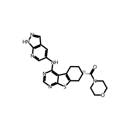 O=C([C@H]1CCc2c(sc3ncnc(Nc4cnc5[nH]ncc5c4)c23)C1)N1CCOCC1